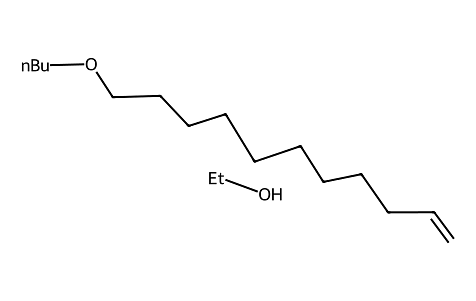 C=CCCCCCCCCCOCCCC.CCO